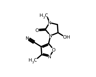 Cc1noc(N2C(=O)N(C)CC2O)c1C#N